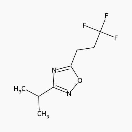 CC(C)c1noc(CCC(F)(F)F)n1